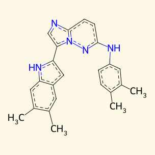 Cc1ccc(Nc2ccc3ncc(-c4cc5cc(C)c(C)cc5[nH]4)n3n2)cc1C